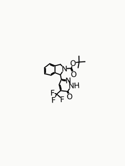 CC(C)(C)OC(=O)N1Cc2ccccc2C1c1cc(C(F)(F)F)c(=O)[nH]n1